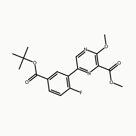 COC(=O)c1nc(-c2cc(C(=O)OC(C)(C)C)ccc2F)cnc1OC